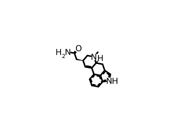 CN1C[C@H](CC(N)=O)C=C2c3cccc4[nH]cc(c34)C[C@H]21